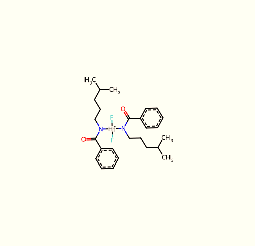 CC(C)CCC[N](C(=O)c1ccccc1)[Hf]([F])([F])[N](CCCC(C)C)C(=O)c1ccccc1